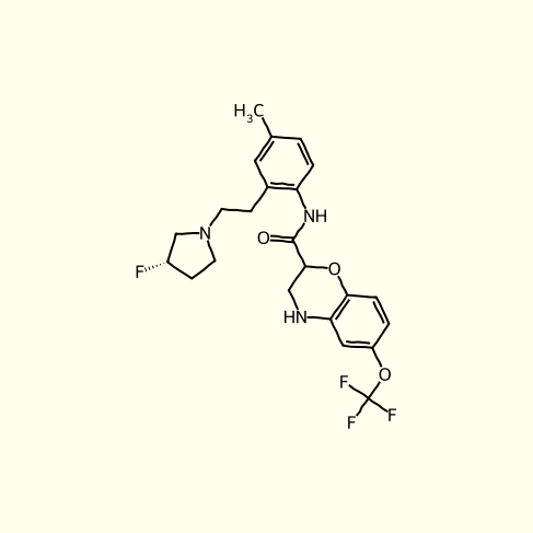 Cc1ccc(NC(=O)C2CNc3cc(OC(F)(F)F)ccc3O2)c(CCN2CC[C@H](F)C2)c1